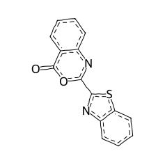 O=c1oc(-c2nc3ccccc3s2)nc2ccccc12